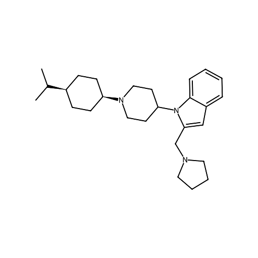 CC(C)[C@H]1CC[C@@H](N2CCC(n3c(CN4CCCC4)cc4ccccc43)CC2)CC1